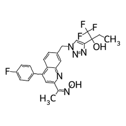 CCC(O)(c1cn(Cc2ccc3c(-c4ccc(F)cc4)cc(/C(C)=N\O)nc3c2)nn1)C(F)(F)F